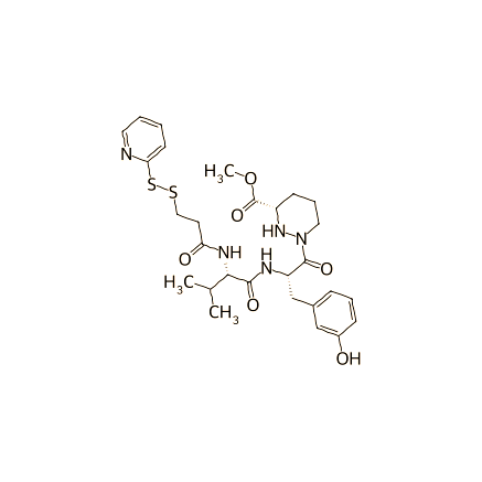 COC(=O)[C@@H]1CCCN(C(=O)[C@H](Cc2cccc(O)c2)NC(=O)[C@@H](NC(=O)CCSSc2ccccn2)C(C)C)N1